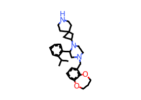 CC(C)c1ccccc1C1CN(Cc2cccc3c2OCCCO3)CCN1C1CC2(CCNCC2)C1